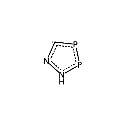 [c]1n[nH]pp1